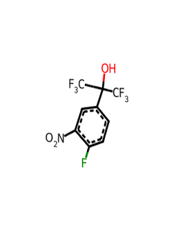 O=[N+]([O-])c1cc(C(O)(C(F)(F)F)C(F)(F)F)ccc1F